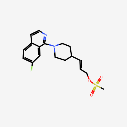 CS(=O)(=O)OCC=CC1CCN(c2nccc3ccc(F)cc23)CC1